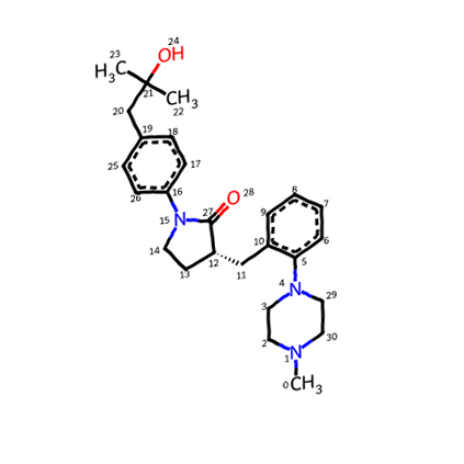 CN1CCN(c2ccccc2C[C@@H]2CCN(c3ccc(CC(C)(C)O)cc3)C2=O)CC1